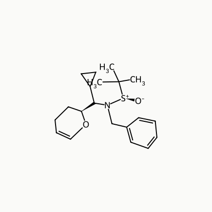 CC(C)(C)[S@@+]([O-])N(Cc1ccccc1)C(C1CC1)[C@@H]1CCC=CO1